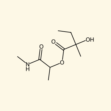 CCC(C)(O)C(=O)OC(C)C(=O)NC